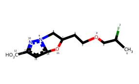 CC(F)COCCC1Cn2nc(C(=O)O)cc2O1